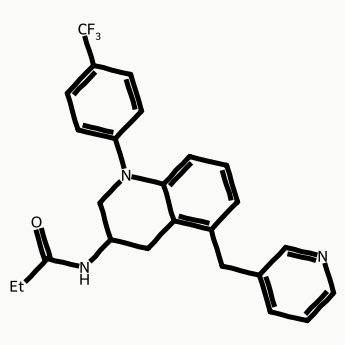 CCC(=O)NC1Cc2c(Cc3cccnc3)cccc2N(c2ccc(C(F)(F)F)cc2)C1